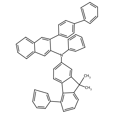 CC1(C)c2cc(N(c3ccccc3)c3cc4ccccc4cc3-c3ccc(-c4ccccc4)cc3)ccc2-c2c(-c3ccccc3)cccc21